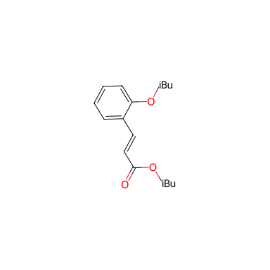 CCC(C)OC(=O)C=Cc1ccccc1OC(C)CC